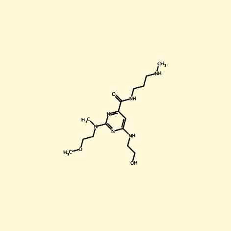 CNCCCNC(=O)c1cc(NCCO)nc(N(C)CCOC)n1